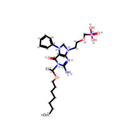 CCCCCCCCCCCCCCCCOC(CC)n1c(N)nc2c(c1=O)N(c1ccccc1)CN2CCOCP(=O)(O)O